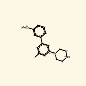 COc1cccc(-c2cc(F)cc(N3CCNCC3)c2)c1